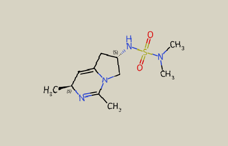 CC1=N[C@@H](C)C=C2C[C@H](NS(=O)(=O)N(C)C)CN21